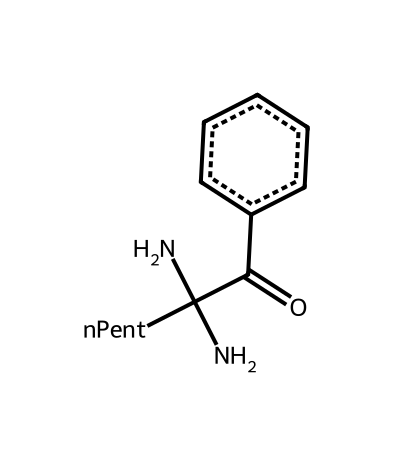 CCCCCC(N)(N)C(=O)c1ccccc1